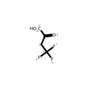 O=C(O)C(=O)CC(F)(F)F